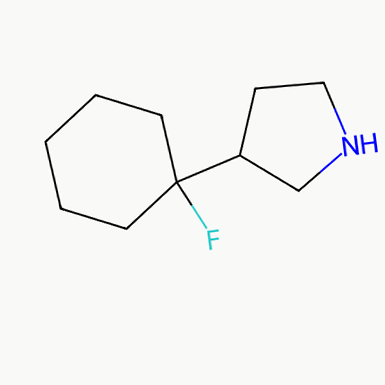 FC1(C2CCNC2)CCCCC1